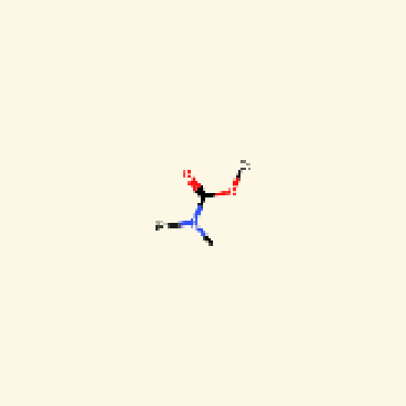 CCOC(=O)N(C)C(C)C